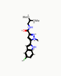 COC(CNC(=O)c1cc(-c2cc3cc(F)ccc3[nH]2)n(C)n1)OC